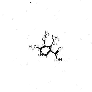 COc1c(C(=O)O)cnc(C)c1OC